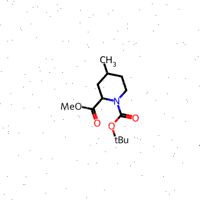 COC(=O)C1CC(C)CCN1C(=O)OC(C)(C)C